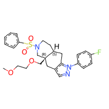 COCCOC[C@]12Cc3cnn(-c4ccc(F)cc4)c3C[C@@H]1CCN(S(=O)(=O)c1ccccc1)C2